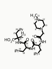 CC(C)CC(NC(=O)CN1CCN(C)CC1)C(=O)NC(CC(C)C)C(=O)NC(C)(CC(C)C)C(=O)O